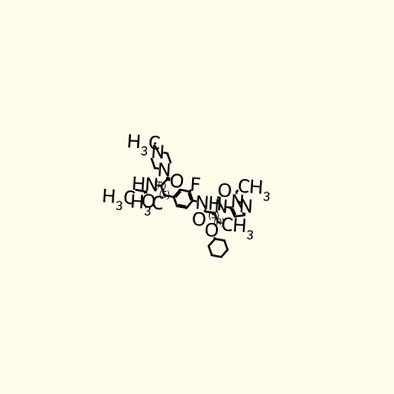 CCC(=O)N[C@@H](C(=O)N1CCN(C)CC1)[C@@H](C)c1ccc(NC(=O)[C@H]([C@@H](C)OC2CCCCC2)N(C=O)c2ccnn2CC)c(F)c1